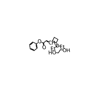 C1CCC1.C=CC(=O)Oc1ccccc1.CCOCC.OCCO